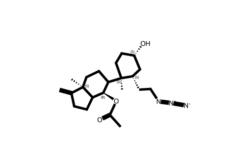 C=C1CCC2[C@H](OC(C)=O)C([C@@]3(C)CC[C@H](O)C[C@@H]3CCN=[N+]=[N-])CC[C@]12C